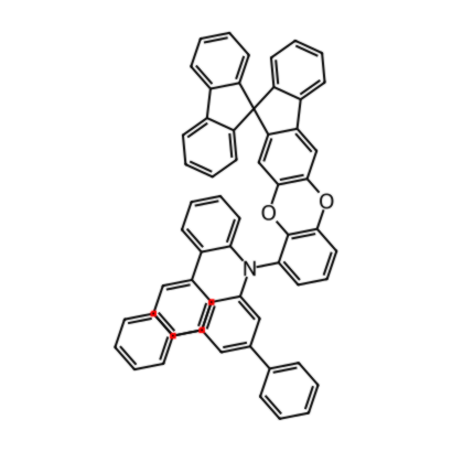 c1ccc(-c2cc(-c3ccccc3)cc(N(c3ccccc3-c3ccccc3)c3cccc4c3Oc3cc5c(cc3O4)-c3ccccc3C53c4ccccc4-c4ccccc43)c2)cc1